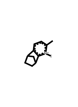 Cc1ccc2c([n+]1I)C1CCC2C1